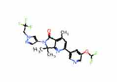 Cc1cc(-c2cncc(OC(F)F)c2)nc2c1C(=O)N(c1cnn(CC(F)(F)F)c1)C2(C)C